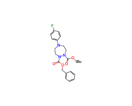 CC(C)(C)OC(=O)N1CCN(c2ccc(F)cc2)CCN1C(=O)OCc1ccccc1